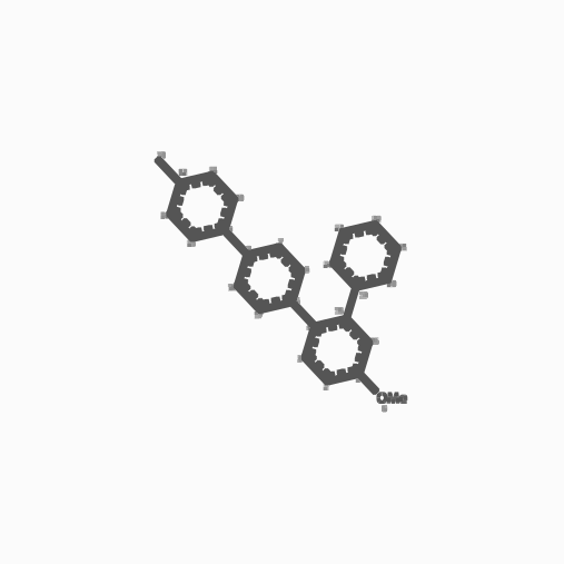 COc1ccc(-c2ccc(-c3ccc(C)cc3)cc2)c(-c2ccccc2)c1